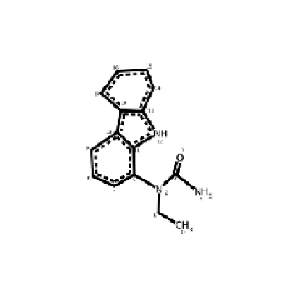 CCN(C(N)=O)c1cccc2c1[nH]c1ccccc12